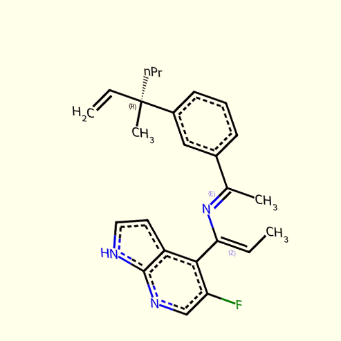 C=C[C@@](C)(CCC)c1cccc(/C(C)=N/C(=C\C)c2c(F)cnc3[nH]ccc23)c1